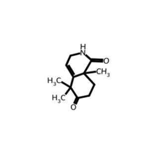 CC1(C)C(=O)CCC2(C)C(=O)NCC=C12